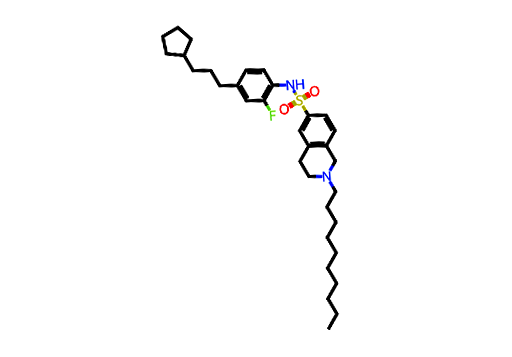 CCCCCCCCCCN1CCc2cc(S(=O)(=O)Nc3ccc(CCCC4CCCC4)cc3F)ccc2C1